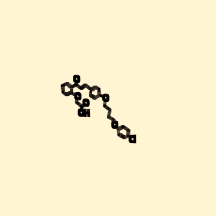 O=C(O)COc1ccccc1C(=O)C=Cc1ccc(OCCCCOc2ccc(Cl)cc2)cc1